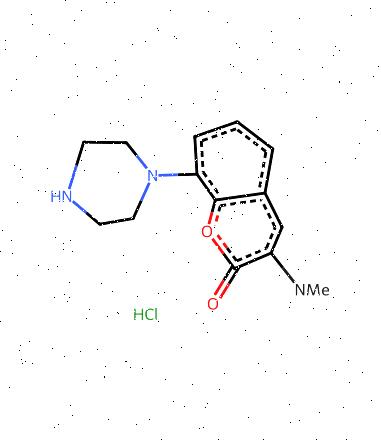 CNc1cc2cccc(N3CCNCC3)c2oc1=O.Cl